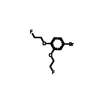 FCCOc1ccc(Br)cc1OCCF